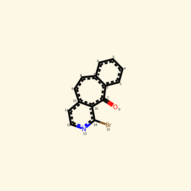 O=c1c2ccccc2ccc2ccnc(Br)c12